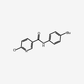 CC(C)(C)c1ccc(NC(=O)c2ccc(Cl)nc2)cc1